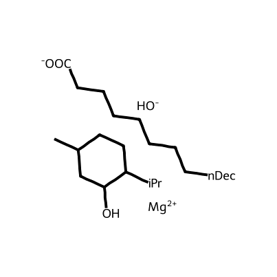 CC1CCC(C(C)C)C(O)C1.CCCCCCCCCCCCCCCCCC(=O)[O-].[Mg+2].[OH-]